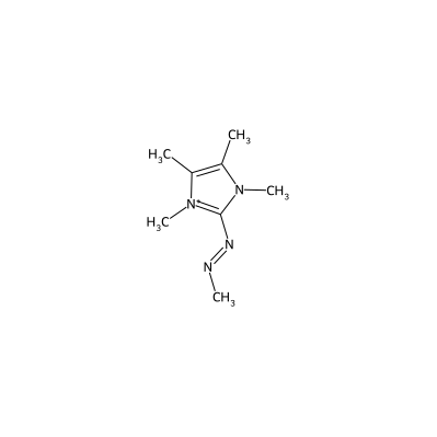 CN=Nc1n(C)c(C)c(C)[n+]1C